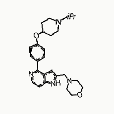 CC(C)N1CCC(Oc2ccc(-c3nccc4[nH]c(CN5CCOCC5)cc34)cc2)CC1